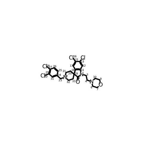 O=C1N(CCN2CCOCC2)c2cc(Cl)c(Cl)cc2C12CCN(Cc1ccc(Cl)c(Cl)c1)CC2